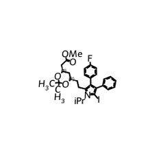 COC(=O)C[C@H]1C[C@@H](CCc2c(-c3ccc(F)cc3)c(-c3ccccc3)c(I)n2C(C)C)OC(C)(C)O1